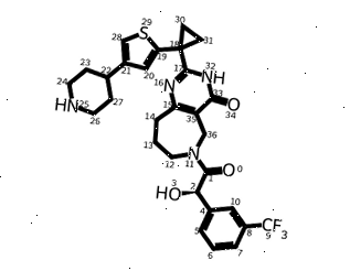 O=C([C@H](O)c1cccc(C(F)(F)F)c1)N1CCCc2nc(C3(c4cc(C5CCNCC5)cs4)CC3)[nH]c(=O)c2C1